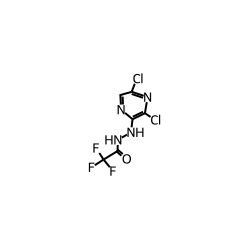 O=C(NNc1ncc(Cl)nc1Cl)C(F)(F)F